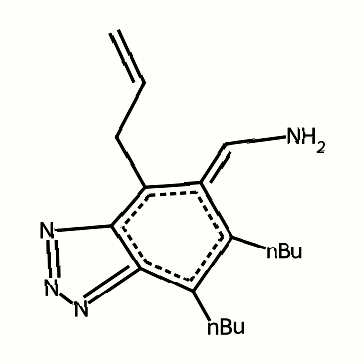 C=CCc1c2c(c(CCCC)c(CCCC)c1=CN)=NN=N2